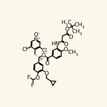 COc1ccc(C(=O)O[C@@H](Cc2c(Cl)c[n+]([O-])cc2Cl)c2ccc(OC(F)F)c(OCC3CC3)c2)cc1NC(=O)CC(=O)OC(C)(C)C